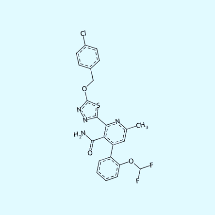 Cc1cc(-c2ccccc2OC(F)F)c(C(N)=O)c(-c2nnc(OCc3ccc(Cl)cc3)s2)n1